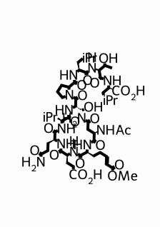 COC(=O)/C=C/CC[C@H](NC(=O)[C@H](CC(N)=O)NC(C)=O)C(=O)N[C@@H](CCC(=O)O)C(=O)N[C@@H](CCC(N)=O)C(=O)N[C@H](C(=O)N[C@@H](CO)C(=O)N1CCCC1C(=O)N[C@@H](CC(C)C)C(=O)N[C@H](C(=O)N[C@@H](CC(C)C)C(=O)O)C(C)O)C(C)C